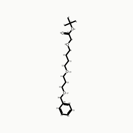 CC(C)(C)OC(=O)COCCCCOCCCOCc1ccccc1